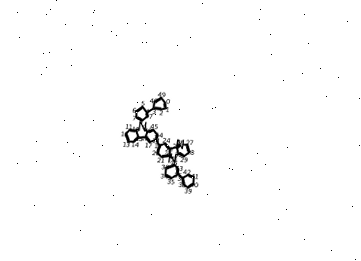 c1ccc(-c2cccc(-n3c4ccccc4c4cc(-c5ccc6c(c5)c5ncccc5n6-c5cccc(-c6ccccc6)c5)ccc43)c2)cc1